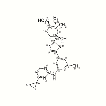 Cc1cc(Nc2nccc(C3CC3)n2)cc(-c2cnc([C@]3(O)CC[C@@H](C(=O)O)C(C)(C)C3)s2)c1